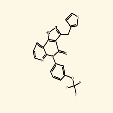 O=c1c2c(Cc3ccsc3)n[nH]c2c2cccnc2n1-c1cccc(OC(F)(F)F)c1